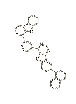 c1cc(-c2cccc3c2oc2ccccc23)cc(-c2ncnc3c2oc2ccc(-c4cccc5ccccc45)cc23)c1